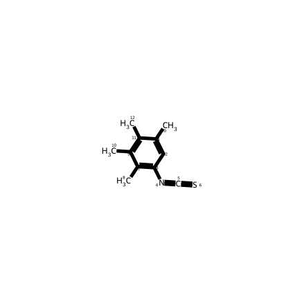 Cc1cc(N=C=S)c(C)c(C)c1C